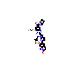 COc1cc(C(=O)N2CC3CCC2C3N)cc2nc(-c3cc4ccc(-c5cc6c(cc5O)NC(=O)CC6)nc4n3CC3CC3)n(C)c12